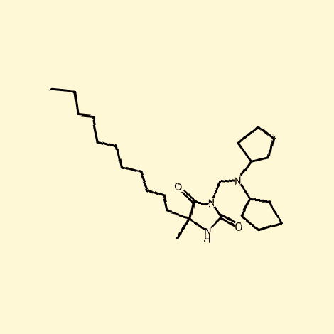 CCCCCCCCCCCC1(C)NC(=O)N(CN(C2CCCC2)C2CCCC2)C1=O